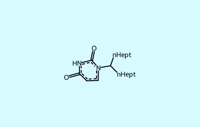 CCCCCCCC(CCCCCCC)n1ccc(=O)[nH]c1=O